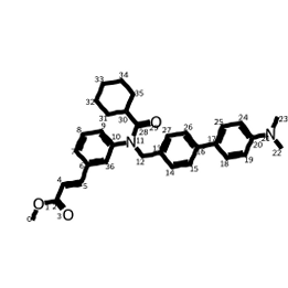 COC(=O)C=Cc1cccc(N(Cc2ccc(-c3ccc(N(C)C)cc3)cc2)C(=O)C2CCCCC2)c1